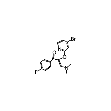 CN(C)C=C(Oc1cc(Br)ccn1)C(=O)c1ccc(F)cc1